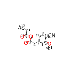 CCOc1cc(CC(=O)OC(=O)CC(C)=O)ccc1C#N